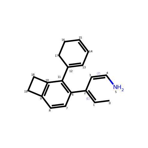 C/C=C(\C=C/N)c1ccc2c(c1C1=CC=CCC1)CC2